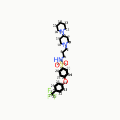 O=S(=O)(NCCCN1CCC(N2CCCCC2)CC1)c1ccc(Oc2ccc(C(F)(F)F)cc2)cc1